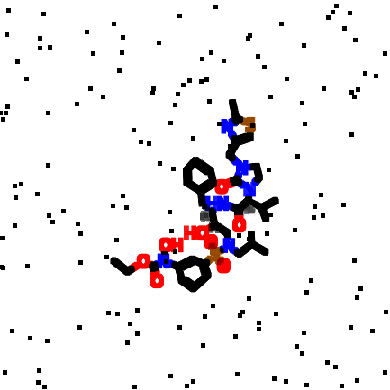 CCOC(=O)N(O)c1cccc(S(=O)(=O)N(CC(C)C)C[C@@H](O)[C@H](Cc2ccccc2)NC(=O)[C@H](C(C)C)N2CCN(Cc3csc(C)n3)C2=O)c1